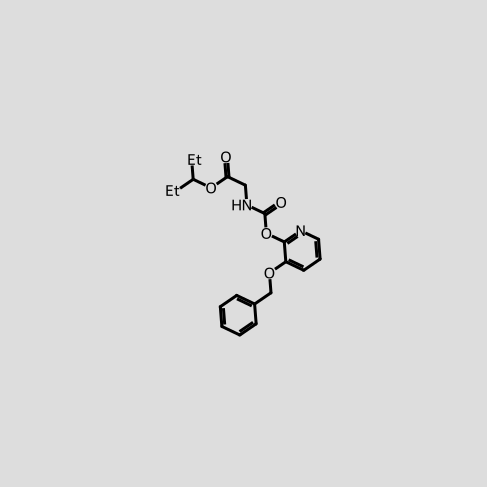 CCC(CC)OC(=O)CNC(=O)Oc1ncccc1OCc1ccccc1